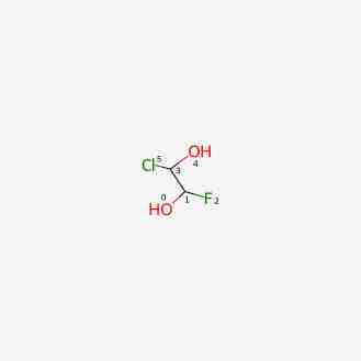 OC(F)C(O)Cl